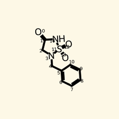 O=C1CN(Cc2ccccc2)S(=O)(=O)N1